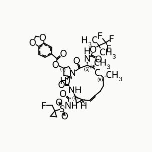 C[C@@H]1CCC=C[C@@H]2C[C@@]2(C(=O)NS(=O)(=O)C2(CF)CC2)NC(=O)[C@@H]2C[C@@H](OC(=O)c3ccc4c(c3)OCO4)CN2C(=O)[C@@H](NC(=O)OC(C)(C)C(F)(F)F)[C@H](C)C1